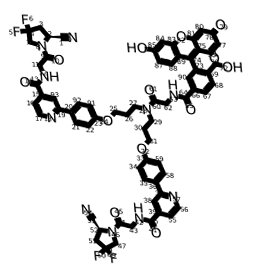 N#C[C@@H]1CC(F)(F)CN1C(=O)CNC(=O)c1ccnc(-c2ccc(OCCCN(CCCOc3ccc(-c4cc(C(=O)NCC(=O)N5CC(F)(F)C[C@H]5C#N)ccn4)cc3)C(=O)CNC(=O)c3ccc(C(=O)O)c(-c4c5ccc(=O)cc-5oc5cc(O)ccc45)c3)cc2)c1